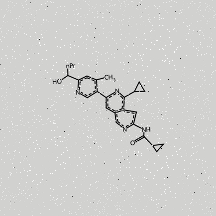 CCCC(O)c1cc(C)c(-c2cc3cnc(NC(=O)C4CC4)cc3c(C3CC3)n2)cn1